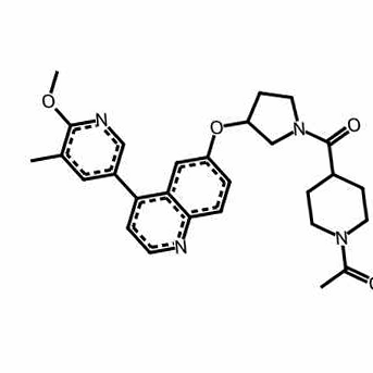 COc1ncc(-c2ccnc3ccc(OC4CCN(C(=O)C5CCN(C(C)=O)CC5)C4)cc23)cc1C